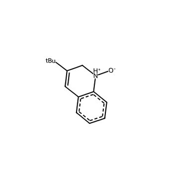 CC(C)(C)C1=Cc2ccccc2[NH+]([O-])C1